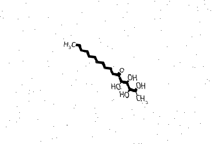 CCCCCCCCCCCC(=O)[C@@H](O)[C@@H](O)[C@H](O)[C@@H](C)O